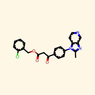 Cc1nc2cnccc2n1-c1ccc(C(=O)CC(=O)OCc2ccccc2Cl)cc1